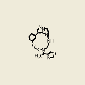 C=C(c1cocn1)N1CCNc2ccn3ncc(c3n2)-c2cccc(c2)OCC1